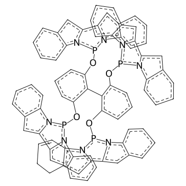 C1=Cc2c(cc3c4cc5ccccc5n4p(Oc4cccc(Op5n6c7ccccc7cc6c6cc7ccccc7n65)c4-c4c(Op5n6c7ccccc7cc6c6cc7ccccc7n65)cccc4Op4n5c6ccccc6cc5c5cc6ccccc6n54)n23)CC1